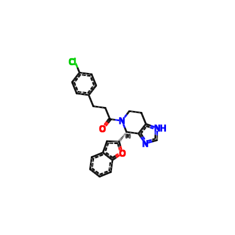 O=C(CCc1ccc(Cl)cc1)N1CCc2[nH]cnc2[C@@H]1c1cc2ccccc2o1